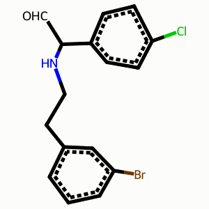 O=CC(NCCc1cccc(Br)c1)c1ccc(Cl)cc1